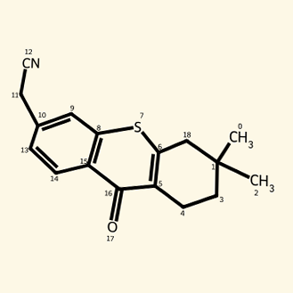 CC1(C)CCc2c(sc3cc(CC#N)ccc3c2=O)C1